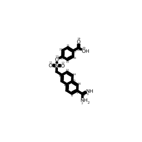 N=C(N)c1ccc2cc(CS(=O)(=O)Oc3ccc(C(=O)O)cc3)ccc2c1